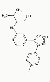 CC(C)C(CO)Nc1cc(-c2c[nH]nc2-c2ccc(F)cc2)ccn1